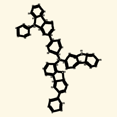 c1ccc(-c2ccc3oc4c(N(c5ccc(-c6ccc7c8ccccc8n(-c8ccccc8)c7c6)cc5)c5ccc6c(c5)oc5ccccc56)cccc4c3c2)cc1